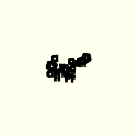 O=C(NCC1CCCC1)Oc1cnc(Nc2cc(Cl)ccc2Cl)nc1C(F)(F)F